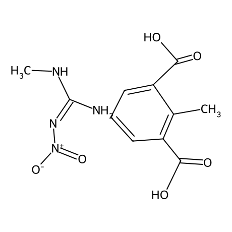 CNC(N)=N[N+](=O)[O-].Cc1c(C(=O)O)cccc1C(=O)O